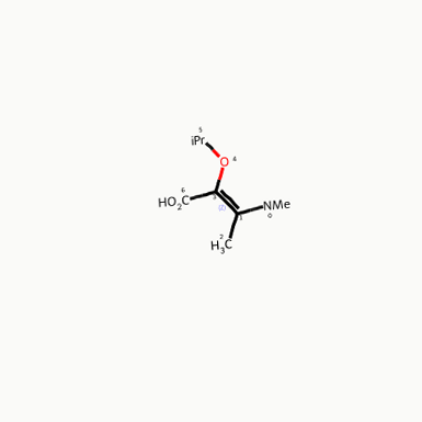 CN/C(C)=C(\OC(C)C)C(=O)O